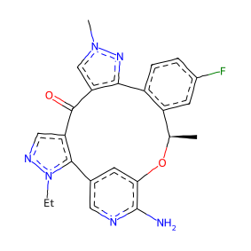 CCn1ncc2c1-c1cnc(N)c(c1)O[C@H](C)c1cc(F)ccc1-c1nn(C)cc1C2=O